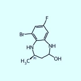 C[C@@H]1CC(O)Nc2cc(F)cc(Br)c2N1